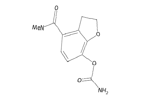 CNC(=O)c1ccc(OC(N)=O)c2c1CCO2